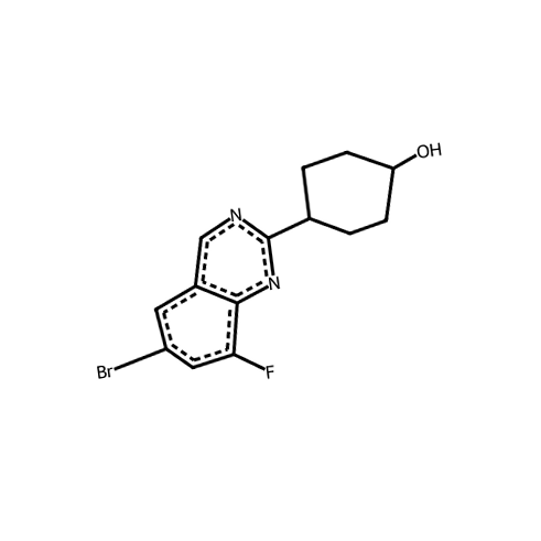 OC1CCC(c2ncc3cc(Br)cc(F)c3n2)CC1